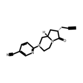 C#CC[C@H]1C[C@H]2CN(c3ccc(C#N)cn3)CCN2C1=O